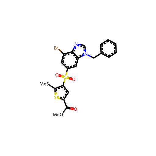 COC(=O)c1cc(S(=O)(=O)c2cc(Br)c3ncn(Cc4ccccc4)c3c2)c(SC)s1